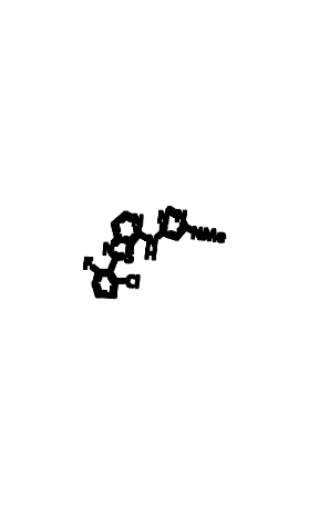 CNc1cc(Nc2nccc3nc(-c4c(F)cccc4Cl)sc23)ncn1